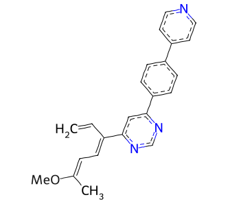 C=C/C(=C\C=C(/C)OC)c1cc(-c2ccc(-c3ccncc3)cc2)ncn1